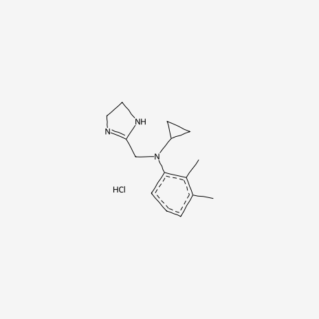 Cc1cccc(N(CC2=NCCN2)C2CC2)c1C.Cl